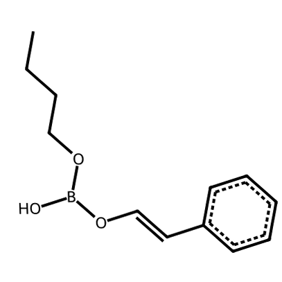 CCCCOB(O)OC=Cc1ccccc1